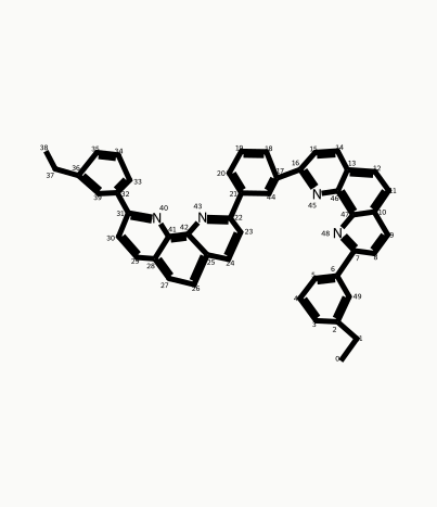 CCc1cccc(-c2ccc3ccc4ccc(-c5cccc(-c6ccc7ccc8ccc(-c9cccc(CC)c9)nc8c7n6)c5)nc4c3n2)c1